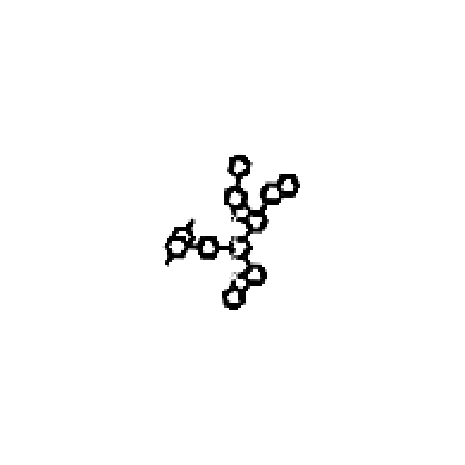 CC1CC2CC(C)CC(c3ccc(-c4nc(-c5cccc6c5oc5ccccc56)cc(-c5ccc(-c6ccc7ccccc7c6)c6c5oc5ccc(-c7ccccc7)cc56)n4)cc3)(C1)C2